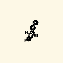 CCN(CCc1ccc(F)cc1)CC(C)N1CCCN(c2ccccn2)CC1